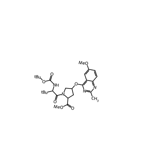 COC(=O)C1CC(Oc2nc(C)nc3ccc(OC)cc23)CN1C(=O)C(NC(=O)OC(C)(C)C)C(C)(C)C